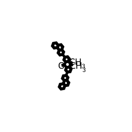 CC1(C)c2ccc(-c3ccc4c(ccc5ccccc54)c3)cc2C(=O)c2cc(-c3ccc4c(ccc5ccccc54)c3)ccc21